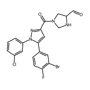 O=CC1CN(C(=O)c2cc(-c3ccc(F)c(Br)c3)n(-c3cccc(Cl)c3)n2)CN1